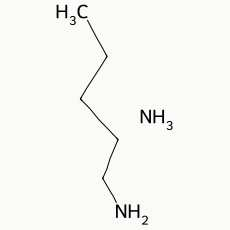 CCCCCN.N